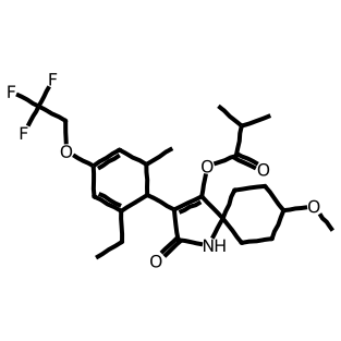 CCC1=CC(OCC(F)(F)F)=CC(C)C1C1=C(OC(=O)C(C)C)C2(CCC(OC)CC2)NC1=O